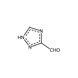 O=Cc1n[c][nH]n1